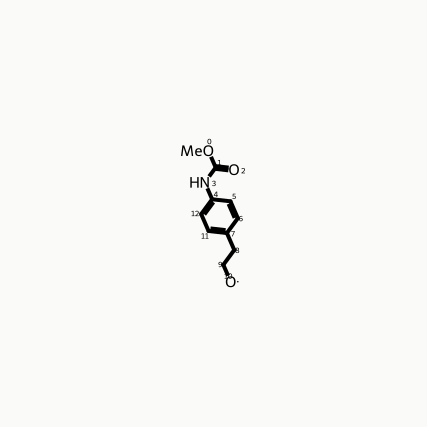 COC(=O)Nc1ccc(CC[O])cc1